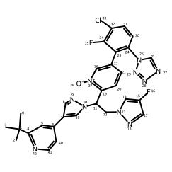 CC(C)(C)c1cc(-c2cnn(C(Cn3cc(F)cn3)c3ccc(-c4c(-n5cnnn5)ccc(Cl)c4F)c[n+]3[O-])c2)ccn1